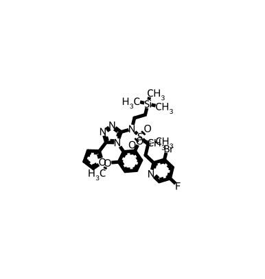 COc1cccc(OC)c1-n1c(-c2ccco2)nnc1N(CC[Si](C)(C)C)S(=O)(=O)[C@H](C)Cc1ncc(F)cc1Br